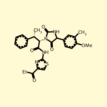 CCC(=O)c1csc(NC(=O)[C@H]([C@@H](C)c2ccccc2)N2C(=O)NC(c3ccc(OC)c(C)c3)C2=O)n1